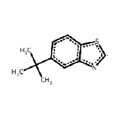 CC(C)(C)c1ccc2s[c]nc2c1